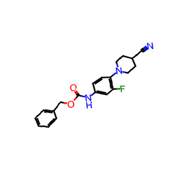 N#CC1CCN(c2ccc(NC(=O)OCc3ccccc3)cc2F)CC1